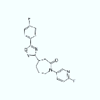 O=C1CC(c2noc(-c3ccc(F)cc3)n2)CCCN1c1ccc(F)nc1